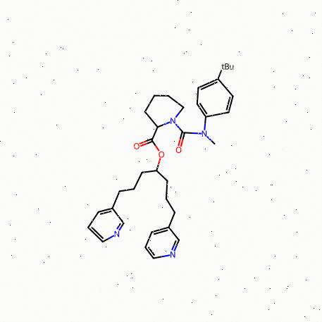 CN(C(=O)N1CCCCC1C(=O)OC(CCCc1cccnc1)CCCc1cccnc1)c1ccc(C(C)(C)C)cc1